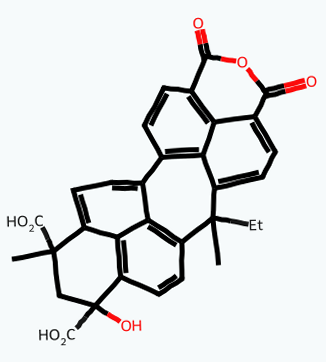 CCC1(C)c2ccc3c4c(ccc(c24)-c2ccc4c5c(ccc1c25)C(O)(C(=O)O)CC4(C)C(=O)O)C(=O)OC3=O